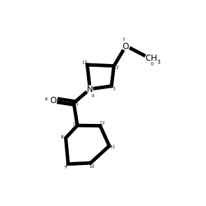 COC1CN(C(=O)C2CCCCC2)C1